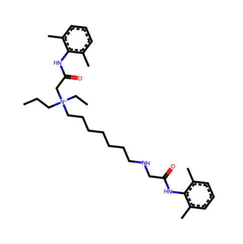 CCC[N+](CC)(CCCCCCCNCC(=O)Nc1c(C)cccc1C)CC(=O)Nc1c(C)cccc1C